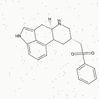 O=S(=O)(C[C@H]1CN[C@@H]2Cc3c[nH]c4cccc(c34)C2C1)c1ccccc1